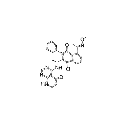 CO/N=C(\C)c1cccc2c(Cl)c([C@H](C)Nc3ncnc4[nH]ccc(=O)c34)n(-c3ccccc3)c(=O)c12